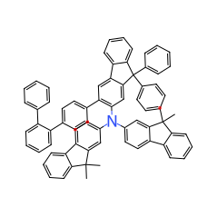 CC1(C)c2ccccc2-c2ccc(N(c3ccc4c(c3)C(C)(C)c3ccccc3-4)c3cc4c(cc3-c3ccc(-c5ccccc5-c5ccccc5)cc3)-c3ccccc3C4(c3ccccc3)c3ccccc3)cc21